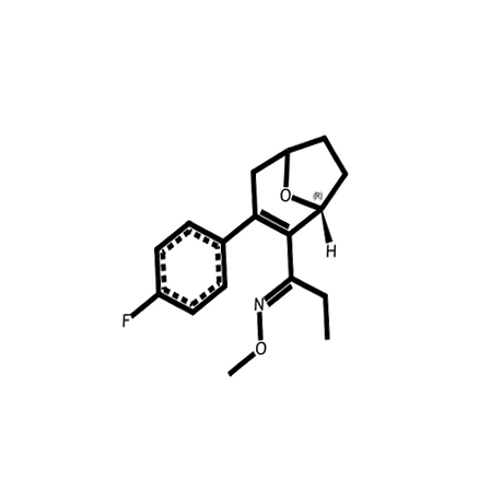 CCC(=NOC)C1=C(c2ccc(F)cc2)CC2CC[C@H]1O2